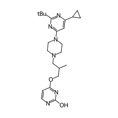 CC(COc1ccnc(O)n1)CN1CCN(c2cc(C3CC3)nc(C(C)(C)C)n2)CC1